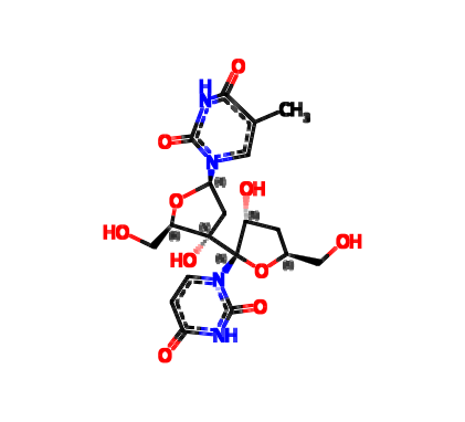 Cc1cn([C@H]2C[C@@](O)([C@@]3(n4ccc(=O)[nH]c4=O)O[C@H](CO)C[C@H]3O)[C@@H](CO)O2)c(=O)[nH]c1=O